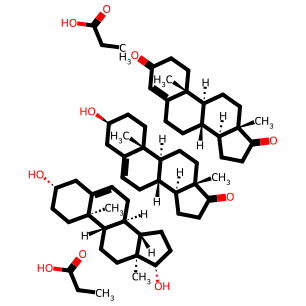 CCC(=O)O.CCC(=O)O.C[C@]12CCC(=O)C=C1CC[C@@H]1[C@@H]2CC[C@]2(C)C(=O)CC[C@@H]12.C[C@]12CC[C@H](O)CC1=CC[C@@H]1[C@@H]2CC[C@]2(C)C(=O)CC[C@@H]12.C[C@]12CC[C@H]3[C@@H](CC=C4C[C@@H](O)CC[C@@]43C)[C@@H]1CC[C@@H]2O